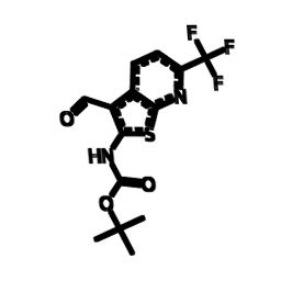 CC(C)(C)OC(=O)Nc1sc2nc(C(F)(F)F)ccc2c1C=O